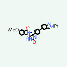 COc1ccc2c(c1)C(=O)N(C[C@@]1(c3ccc(-c4ccc5nn(C(C)C)cc5c4)cc3)NC(=O)NC1=O)C2